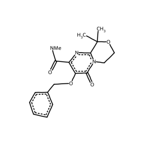 CNC(=O)c1nc2n(c(=O)c1OCc1ccccc1)CCOC2(C)C